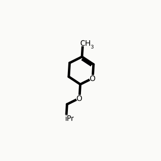 CC1=COC(OCC(C)C)CC1